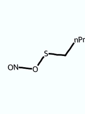 CCCCSON=O